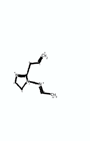 C=CCC1=NCCN1N=CC